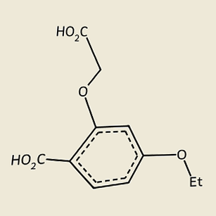 CCOc1ccc(C(=O)O)c(OCC(=O)O)c1